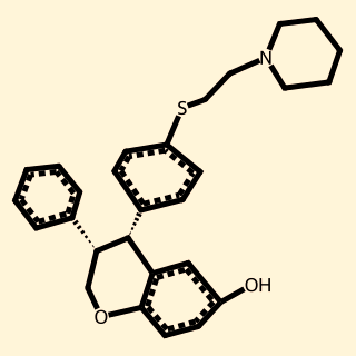 Oc1ccc2c(c1)[C@@H](c1ccc(SCCN3CCCCC3)cc1)[C@@H](c1ccccc1)CO2